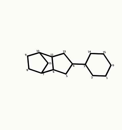 C1CCC(C2CC3C4CCC(C4)C3C2)CC1